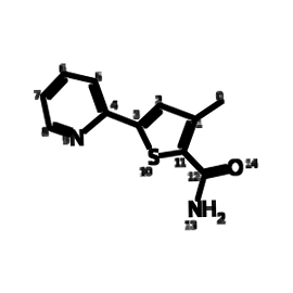 Cc1cc(-c2ccccn2)sc1C(N)=O